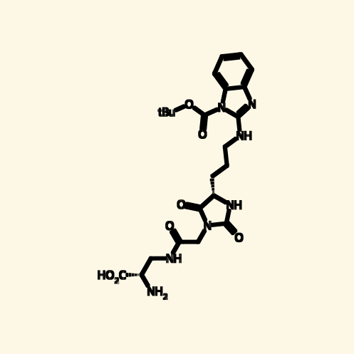 CC(C)(C)OC(=O)n1c(NCCC[C@@H]2NC(=O)N(CC(=O)NC[C@H](N)C(=O)O)C2=O)nc2ccccc21